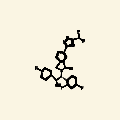 O=C1c2cc(-c3nnc(C(F)F)o3)ccc2CN1[C@H](c1ccc(F)cc1F)[C@@H](O)c1ccc(F)cc1